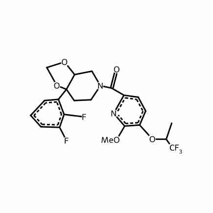 COc1nc(C(=O)N2CCC3(c4cccc(F)c4F)OCOC3C2)ccc1OC(C)C(F)(F)F